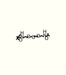 C=C(C)C(=O)NCCCOCCOCCOCCCNC(=O)C1(CC)CC1(C)C